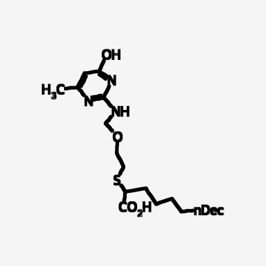 CCCCCCCCCCCCCCC(SCCOCNc1nc(C)cc(O)n1)C(=O)O